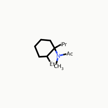 CCC1CCCCC1(C(C)C)N(C)C(C)=O